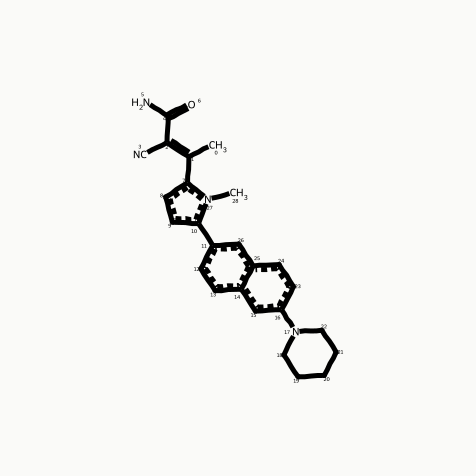 C/C(=C(/C#N)C(N)=O)c1ccc(-c2ccc3cc(N4CCCCC4)ccc3c2)n1C